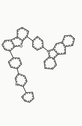 c1ccc(-c2ccc(-c3ccc(-c4cccc5c4oc4c(-c6ccc(-n7c8ccccc8c8cc9ccccc9cc87)cc6)cccc45)cc3)cn2)cc1